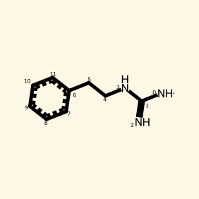 [NH]C(=N)NCCc1ccccc1